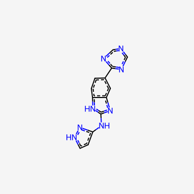 c1ncnc(-c2ccc3[nH]c(Nc4cc[nH]n4)nc3c2)n1